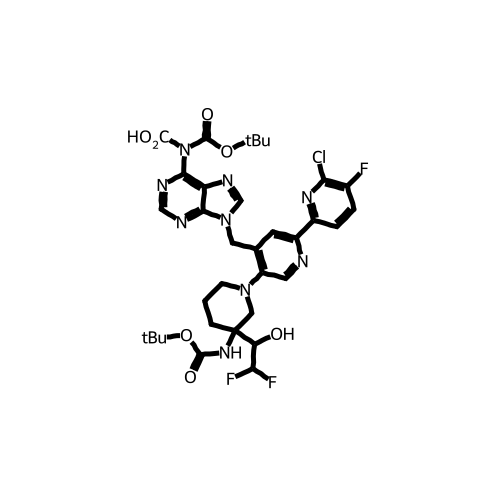 CC(C)(C)OC(=O)NC1(C(O)C(F)F)CCCN(c2cnc(-c3ccc(F)c(Cl)n3)cc2Cn2cnc3c(N(C(=O)O)C(=O)OC(C)(C)C)ncnc32)C1